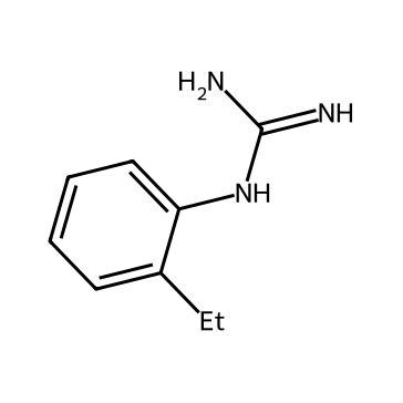 CCc1ccccc1NC(=N)N